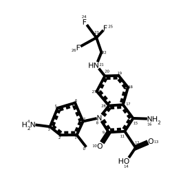 Cc1cc(N)ccc1-n1c(=O)c(C(=O)O)c(N)c2ccc(NCC(F)(F)F)cc21